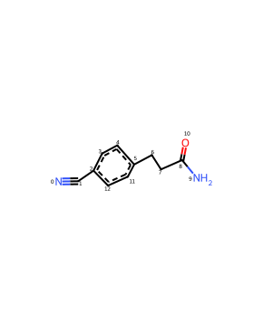 N#Cc1ccc(CCC(N)=O)cc1